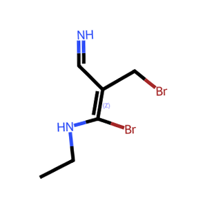 CCN/C(Br)=C(\C=N)CBr